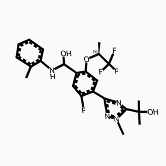 Cc1ccccc1NC(O)c1cc(F)c(-c2nc(C(C)(C)O)n(C)n2)cc1O[C@@H](C)C(F)(F)F